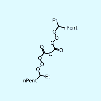 CCCCCC(CC)OOOC(=O)OC(=O)OOOC(CC)CCCCC